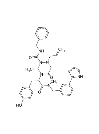 C=CCN1CC(=O)N([C@@H](Cc2ccc(O)cc2)C(=O)N(C)Cc2cccc(-c3ncc[nH]3)c2)[C@H](C)N1C(=O)NCc1ccccc1